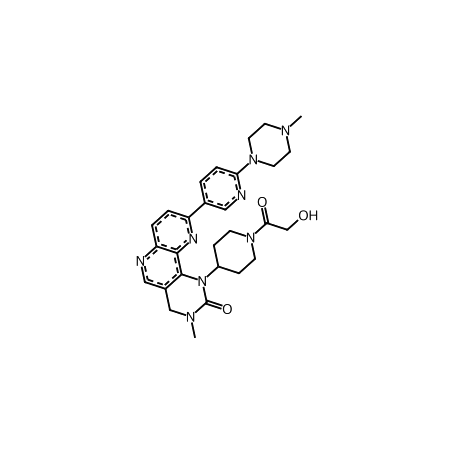 CN1CCN(c2ccc(-c3ccc4ncc5c(c4n3)N(C3CCN(C(=O)CO)CC3)C(=O)N(C)C5)cn2)CC1